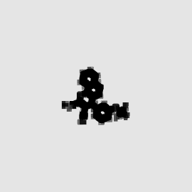 N#CC1=C(N)Oc2c(ccc3ccccc23)C1c1cccc(OC(F)(F)F)c1